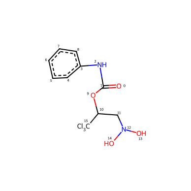 O=C(Nc1ccccc1)OC(CN(O)O)C(Cl)(Cl)Cl